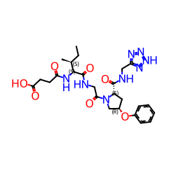 CC[C@H](C)[C@H](NC(=O)CCC(=O)O)C(=O)NCC(=O)N1C[C@H](Oc2ccccc2)C[C@H]1C(=O)NCc1nn[nH]n1